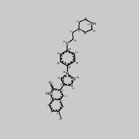 O=c1[nH]c2ccc(F)cc2cc1-c1cn(-c2ccc(OCCC3CCNCC3)cc2)nn1